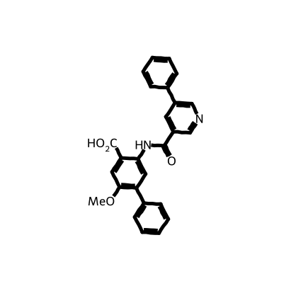 COc1cc(C(=O)O)c(NC(=O)c2cncc(-c3ccccc3)c2)cc1-c1ccccc1